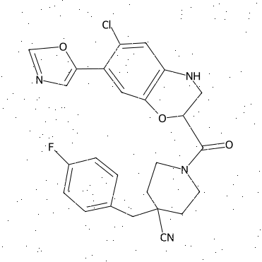 N#CC1(Cc2ccc(F)cc2)CCN(C(=O)C2CNc3cc(Cl)c(-c4cnco4)cc3O2)CC1